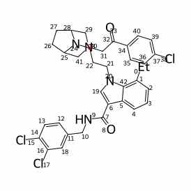 CCc1cccc2c(C(=O)NCc3ccc(Cl)c(Cl)c3)cn(CCCN3C4CCC3CN(CC(=O)c3ccc(Cl)cc3)C4)c12